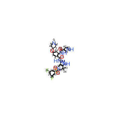 CN1CCC(Oc2ccc(C(=O)Nc3n[nH]c4c3CN(S(=O)(=O)c3cc(F)cc(F)c3)CC4(C)C)c(NC(=O)c3cc[nH]c3)c2)CC1